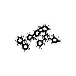 c1ccc(C2=NC(c3ccccc3)NC(c3cccc4sc5cc6c(cc5c34)sc3cc(-n4c5ccccc5c5ccccc54)ccc36)=N2)cc1